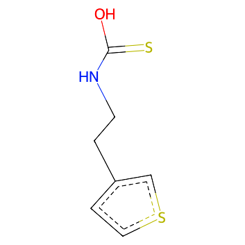 OC(=S)NCCc1ccsc1